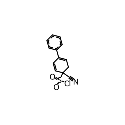 N#CC1(S(=O)(=O)Cl)C=CC(c2ccccc2)=CC1